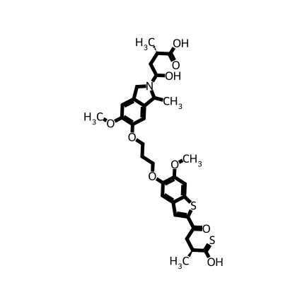 COc1cc2c(cc1OCCCOc1cc3cc(C(=O)C[C@H](C)C(O)=S)sc3cc1OC)C(C)N(C(O)C[C@H](C)C(=O)O)C2